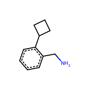 NCc1ccccc1C1CCC1